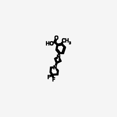 Cc1ccc(N2CC(N3CCC(F)(F)CC3)C2)cc1C(=O)O